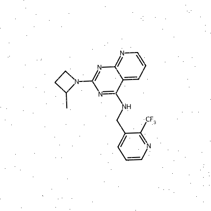 CC1CCN1c1nc(NCc2cccnc2C(F)(F)F)c2cccnc2n1